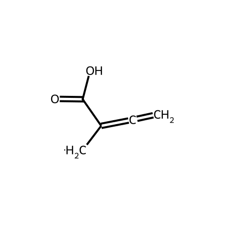 [CH2]C(=C=C)C(=O)O